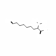 C=CCCCCCCC(C(=O)OC)N(C)C